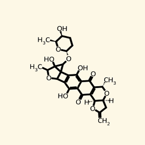 C=C1C[C@@H]2O[C@@H](C)C3=C(C(=O)c4c(O)c5c(c(O)c4C3=O)C34C5OC(C)C3(O)C4O[C@H]3CC[C@H](O)[C@H](C)O3)[C@@H]2O1